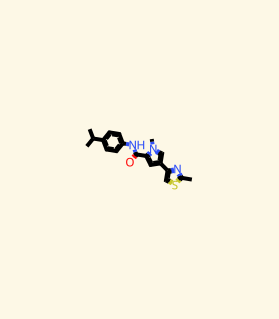 Cc1nc(-c2cc(C(=O)Nc3ccc(C(C)C)cc3)n(C)c2)cs1